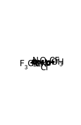 Cc1cc(C(C)(O)C(F)(F)F)cc(Cl)c1NC(=O)NCc1ncc(C(F)(F)F)cn1